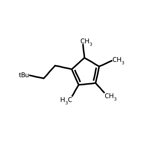 CC1=C(C)C(C)C(CCC(C)(C)C)=C1C